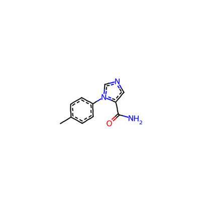 Cc1ccc(-n2cncc2C(N)=O)cc1